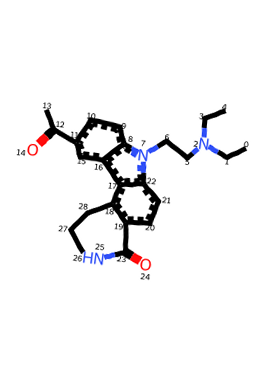 CCN(CC)CCn1c2ccc(C(C)=O)cc2c2c3c(ccc21)C(=O)NCCC3